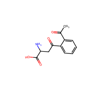 CC(=O)c1ccccc1C(=O)CC(N)C(=O)O